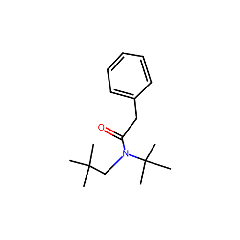 CC(C)(C)CN(C(=O)Cc1ccccc1)C(C)(C)C